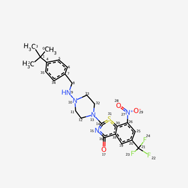 CC(C)(C)c1ccc(CNN2CCN(c3nc(=O)c4cc(C(F)(F)F)cc([N+](=O)[O-])c4s3)CC2)cc1